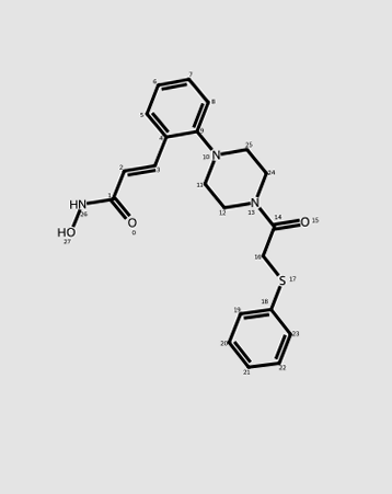 O=C(/C=C/c1ccccc1N1CCN(C(=O)CSc2ccccc2)CC1)NO